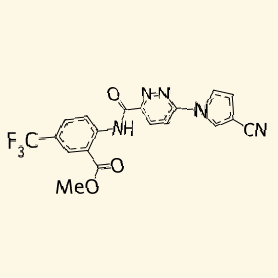 COC(=O)c1cc(C(F)(F)F)ccc1NC(=O)c1ccc(-n2ccc(C#N)c2)nn1